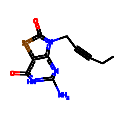 CCC#CCn1c(=O)sc2c(=O)[nH]c(N)nc21